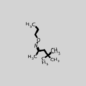 CCCON=C(C)CC(C)(C)C